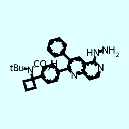 CC(C)(C)N(C(=O)O)C1(c2ccc(-c3nc4ccnc(NN)c4cc3-c3ccccc3)cc2)CCC1